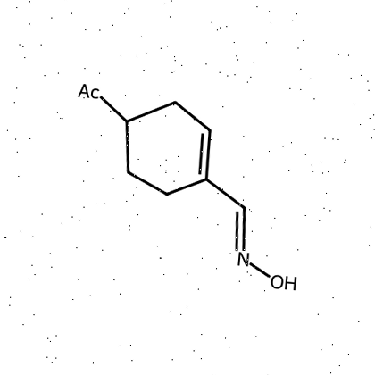 CC(=O)C1CC=C(C=NO)CC1